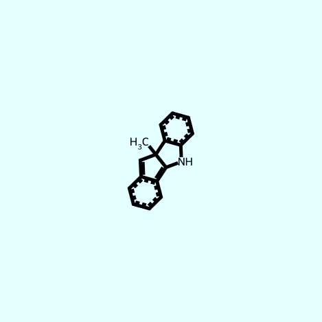 CC12C=c3ccccc3=C1Nc1ccccc12